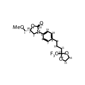 COC[C@H]1CN(c2ccc(CCCC3(C(F)(F)F)OCCO3)cc2)C(=O)O1